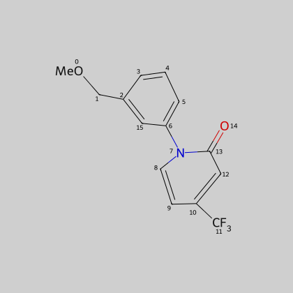 COCc1cccc(-n2ccc(C(F)(F)F)cc2=O)c1